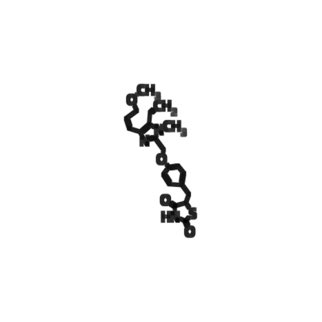 C=Cc1c(/C=C\COC)nc(COc2ccc(CC3SC(=O)NC3=O)cc2)n1C